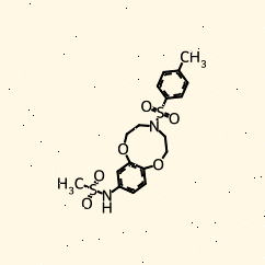 Cc1ccc(S(=O)(=O)N2CCOc3ccc(NS(C)(=O)=O)cc3OCC2)cc1